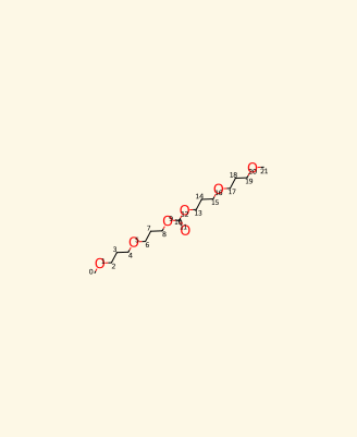 COCCCOCCCOC(=O)OCCCOCCCOC